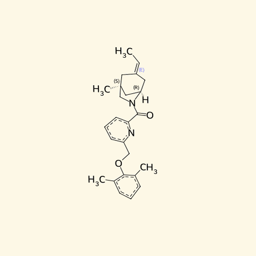 C/C=C1/C[C@@H]2C[C@](C)(C1)CN2C(=O)c1cccc(COc2c(C)cccc2C)n1